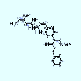 CN/C=C(\C(=N)COc1ccccc1)c1cnc2c(c1)NC(N/C(N)=C/C(=C\N)C(C)C)C=C2